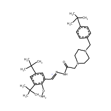 CC(C)(C)c1ccc(CN2CCN(CC(=O)N/N=C/c3cc(C(C)(C)C)cc(C(C)(C)C)c3ON)CC2)cc1